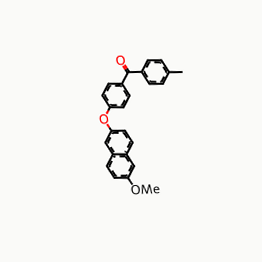 COc1ccc2cc(Oc3ccc(C(=O)c4ccc(C)cc4)cc3)ccc2c1